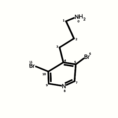 NCCCc1c(Br)cncc1Br